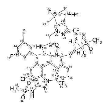 CC(C)(C#Cc1nc([C@H](Cc2cc(F)cc(F)c2)NC(=O)Cn2nc(C(F)(F)F)c3c2C(F)(F)C2C[C@H]32)c(-c2ccc(Cl)c3c(NS(C)(=O)=O)nn(CC(F)(F)F)c23)c2ccccc12)S(C)(=O)=O